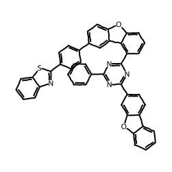 c1ccc(-c2nc(-c3ccc4c(c3)oc3ccccc34)nc(-c3cccc4oc5ccc(-c6ccc(-c7nc8ccccc8s7)cc6)cc5c34)n2)cc1